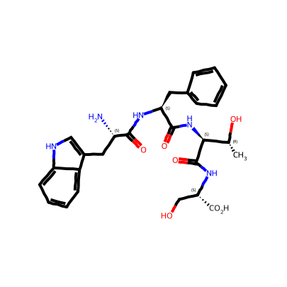 C[C@@H](O)[C@H](NC(=O)[C@H](Cc1ccccc1)NC(=O)[C@@H](N)Cc1c[nH]c2ccccc12)C(=O)N[C@@H](CO)C(=O)O